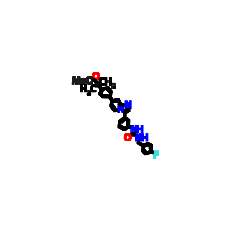 COC(=O)C(C)(C)c1ccc(-c2ccn3c(-c4cccc(NC(=O)NCc5ccc(F)cc5)c4)cnc3c2)cc1